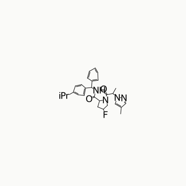 Cc1cnn(C(C)C(=O)N2CC(F)CC2C(=O)NC(c2ccccc2)c2ccc(C(C)C)cc2)c1